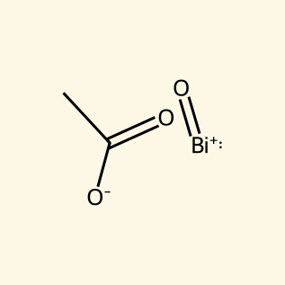 CC(=O)[O-].[O]=[Bi+]